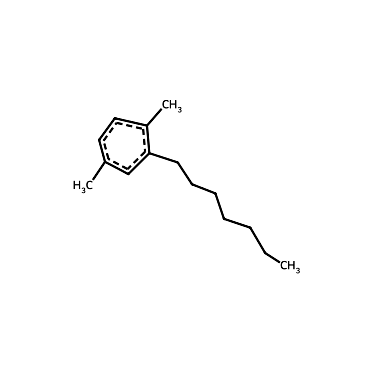 CCCCCCCc1cc(C)ccc1C